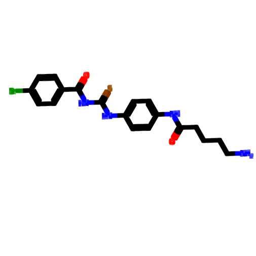 NCCCCC(=O)Nc1ccc(NC(=S)NC(=O)c2ccc(Br)cc2)cc1